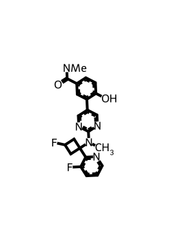 CNC(=O)c1ccc(O)c(-c2cnc(N(C)C3(c4ncccc4F)CC(F)C3)nc2)c1